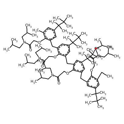 CCc1cc(C(C)(C)C(C)(C)C)cc(Cc2cc(C(C)(C)C(C)(C)C)cc(Cc3cc(C(C)(C)C(C)(C)C)cc(Cc4cc(C(C)(C)C(C)(C)C)cc(C)c4OCC(=O)N(CC(C)C)CC(C)C)c3OCC(=O)N(CC(C)C)CC(C)C)c2OCC(=O)N(CC(C)C)CC(C)C)c1OCC(=O)N(CC(C)C)CC(C)C